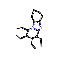 C=Cc1c(C=C)c2nc3ccccc3n2c(=C/C)/c1=C\C